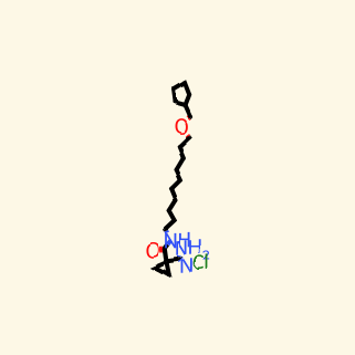 N/C(=N\Cl)C1(C(=O)NCCCCCCCCCCOCC2CCCC2)CC1